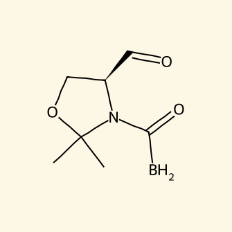 BC(=O)N1[C@H](C=O)COC1(C)C